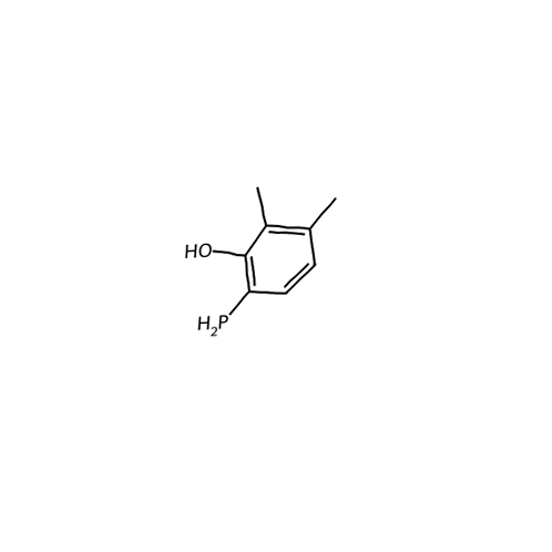 Cc1ccc(P)c(O)c1C